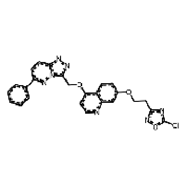 Clc1nc(CCOc2ccc3c(OCc4nnc5ccc(-c6ccccc6)nn45)ccnc3c2)no1